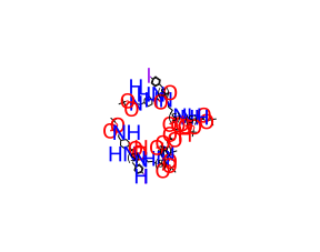 CC(C)(C)OC(=O)CC[C@H](NC(=O)N[C@@H](CCCCNC(=O)[C@H](Cc1ccc(I)cc1)NC(=O)C1CCC(CNC(=O)OC(C)(C)C)CC1)C(=O)OC(C)(C)C)C(=O)OC(C)(C)C.CC(C)(C)OC(=O)NCC1CCC(C(=O)N[C@@H](Cc2ccc(I)cc2)C(=O)NCCCC[C@H](NC(=O)N(C(C)(C)C)[C@@](CCC(=O)O)(C(=O)O)C(C)(C)C)C(=O)OC(C)(C)C)CC1